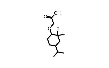 CC(C)C1CCC(OCC(=O)O)C(F)(F)C1